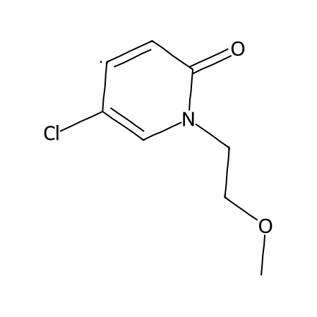 COCCn1cc(Cl)[c]cc1=O